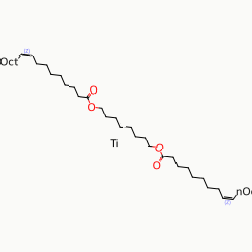 CCCCCCCC/C=C\CCCCCCCC(=O)OCCCCCCCCOC(=O)CCCCCCC/C=C\CCCCCCCC.[Ti]